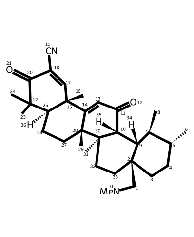 CNC[C@]12CC[C@@H](C)[C@H](C)[C@H]1[C@H]1C(=O)C=C3[C@@]4(C)C=C(C#N)C(=O)C(C)(C)[C@@H]4CC[C@@]3(C)[C@]1(C)CC2